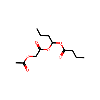 CCCC(=O)OC(CCC)OC(=O)COC(C)=O